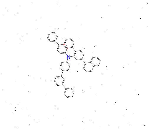 c1ccc(-c2ccc(N(c3ccc(-c4cccc(-c5ccccc5)c4)cc3)c3cc(-c4cccc5ccccc45)ccc3-c3ccccc3)cc2)cc1